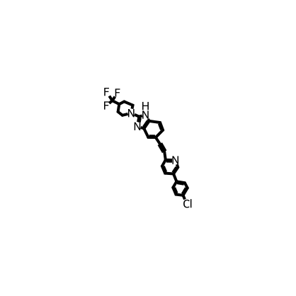 FC(F)(F)C1CCN(c2nc3cc(C#Cc4ccc(-c5ccc(Cl)cc5)cn4)ccc3[nH]2)CC1